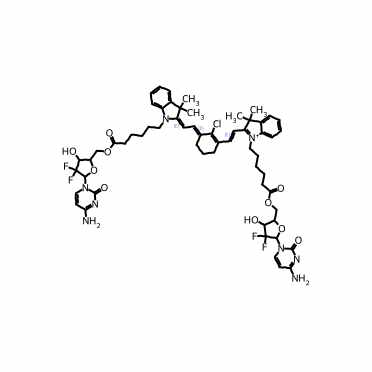 CC1(C)C(/C=C/C2=C(Cl)C(=C/C=C3/N(CCCCCC(=O)OCC4OC(n5ccc(N)nc5=O)C(F)(F)C4O)c4ccccc4C3(C)C)/CCC2)=[N+](CCCCCC(=O)OCC2OC(n3ccc(N)nc3=O)C(F)(F)C2O)c2ccccc21